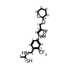 CC(S)NCc1ccc(-n2cc(COC3CCCCO3)nn2)cc1C(F)(F)F